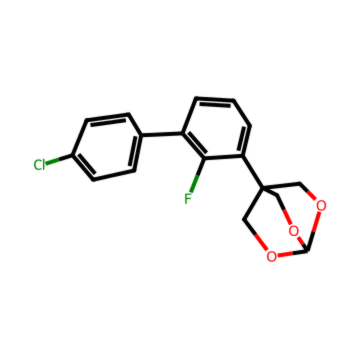 Fc1c(-c2ccc(Cl)cc2)cccc1C12COC(OC1)OC2